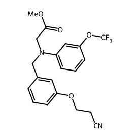 COC(=O)CN(Cc1cccc(OCCC#N)c1)c1cccc(OC(F)(F)F)c1